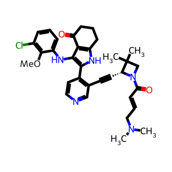 COc1c(Cl)cccc1Nc1c(-c2ccncc2C#C[C@H]2N(C(=O)/C=C/CN(C)C)CC2(C)C)[nH]c2c1C(=O)CCC2